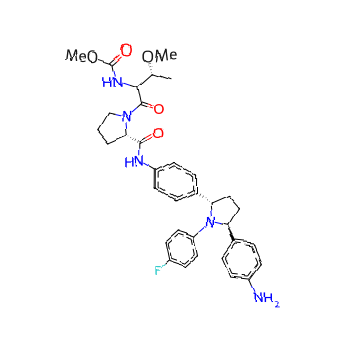 COC(=O)NC(C(=O)N1CCC[C@H]1C(=O)Nc1ccc([C@@H]2CC[C@@H](c3ccc(N)cc3)N2c2ccc(F)cc2)cc1)[C@@H](C)OC